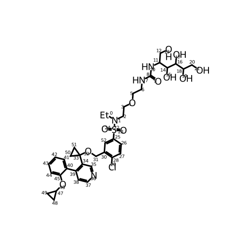 CCN(CCOCCNC(=O)NC(CO)C(O)C(O)C(O)CO)S(=O)(=O)c1ccc(Cl)c(COC2(c3cnccc3-c3ccccc3OC3CC3)CC2)c1